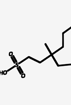 [CH2]CC(C)(CCC)CCS(=O)(=O)O